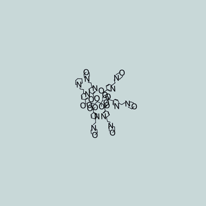 O=C(OC[C@H](OC(=O)c1ccc(CCN2CCOCC2)nc1)[C@@H](OC(=O)c1ccc(CCN2CCOCC2)nc1)[C@H](OC(=O)c1ccc(CCN2CCOCC2)nc1)[C@@H](COC(=O)c1ccc(CCN2CCOCC2)nc1)OC(=O)c1ccc(CCN2CCOCC2)nc1)c1ccc(CCN2CCCCC2)nc1